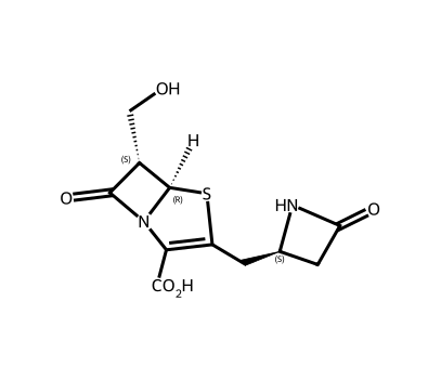 O=C1C[C@@H](CC2=C(C(=O)O)N3C(=O)[C@H](CO)[C@H]3S2)N1